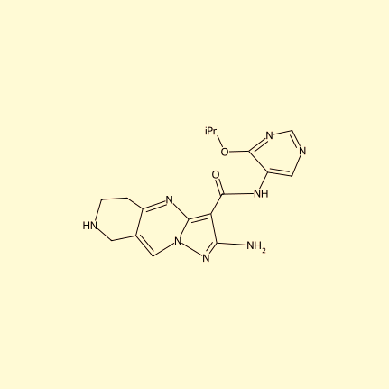 CC(C)Oc1ncncc1NC(=O)c1c(N)nn2cc3c(nc12)CCNC3